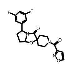 O=C(c1ccon1)N1CCC2(CC1)OC1CCC(c3cc(F)cc(F)c3)N1C2=O